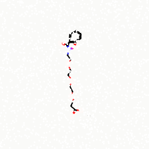 CC(C)(C)OC(=O)CCOCCOCCOCCn1oc2ccccc2c1=O